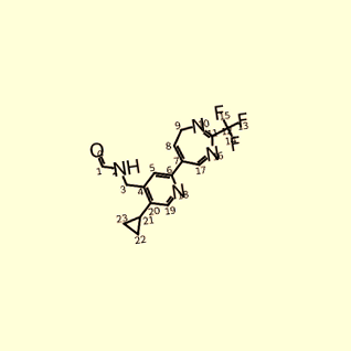 O=CNCc1cc(C2=CCN=C(C(F)(F)F)N=C2)ncc1C1CC1